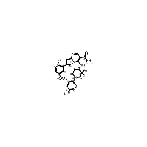 COc1ccc(F)c(-c2cc3ncc(C(N)=O)c(N[C@@H]4CCN(c5ccc(C#N)nn5)CC4(C)C)n3n2)c1